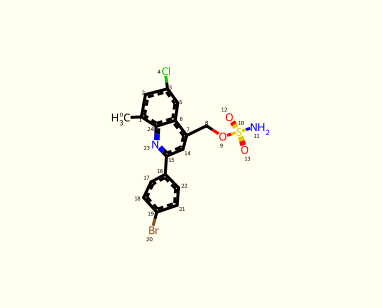 Cc1cc(Cl)cc2c(COS(N)(=O)=O)cc(-c3ccc(Br)cc3)nc12